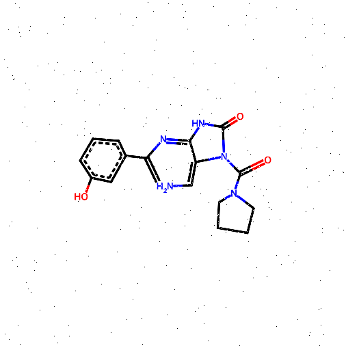 C=C(/N=C1/NC(=O)N(C(=O)N2CCCC2)/C1=C/N)c1cccc(O)c1